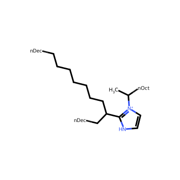 CCCCCCCCCCCCCCCCCC(CCCCCCCCCCC)c1[nH]cc[n+]1C(C)CCCCCCCC